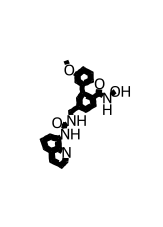 COc1cccc(-c2cc(CNC(=O)Nc3cccc4cccnc34)ccc2C(=O)NO)c1